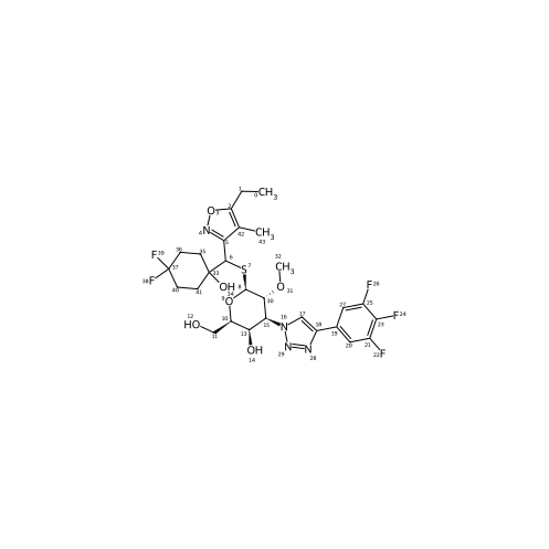 CCc1onc(C(S[C@@H]2O[C@H](CO)[C@H](O)[C@H](n3cc(-c4cc(F)c(F)c(F)c4)nn3)[C@H]2OC)C2(O)CCC(F)(F)CC2)c1C